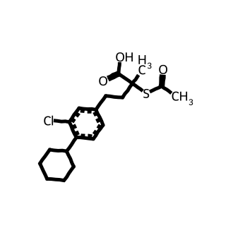 CC(=O)SC(C)(CCc1ccc(C2CCCCC2)c(Cl)c1)C(=O)O